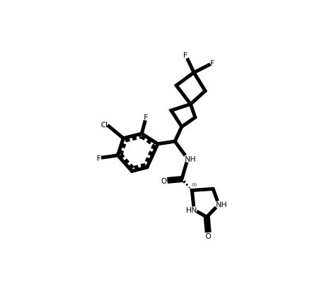 O=C1NC[C@@H](C(=O)NC(c2ccc(F)c(Cl)c2F)C2CC3(C2)CC(F)(F)C3)N1